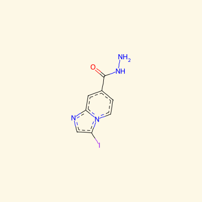 NNC(=O)c1ccn2c(I)cnc2c1